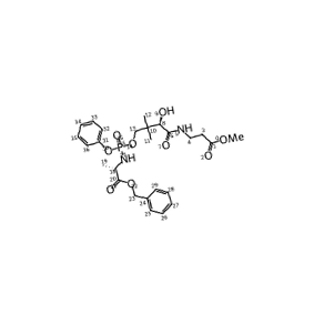 COC(=O)CCNC(=O)[C@H](O)C(C)(C)COP(=O)(N[C@@H](C)C(=O)OCc1ccccc1)Oc1ccccc1